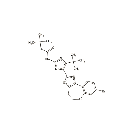 CC(C)(C)OC(=O)Nc1nc(-c2nc3c(s2)CCOc2cc(Br)ccc2-3)n(C(C)(C)C)n1